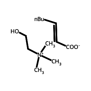 CCCCC=CC(=O)[O-].C[N+](C)(C)CCO